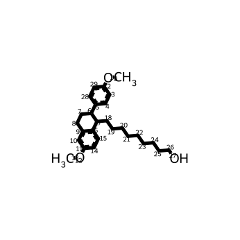 COc1ccc(C2CCc3cc(OC)ccc3C2CCCCCCCCCO)cc1